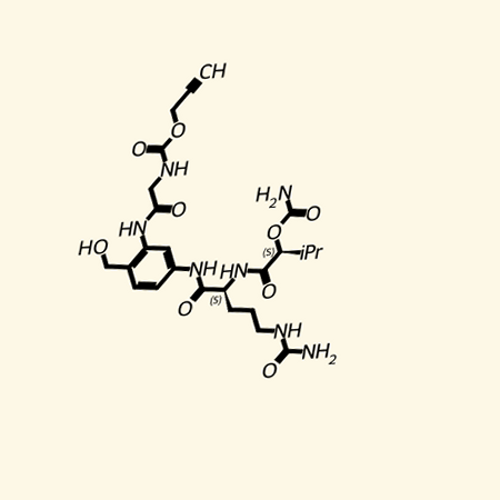 C#CCOC(=O)NCC(=O)Nc1cc(NC(=O)[C@H](CCCNC(N)=O)NC(=O)[C@@H](OC(N)=O)C(C)C)ccc1CO